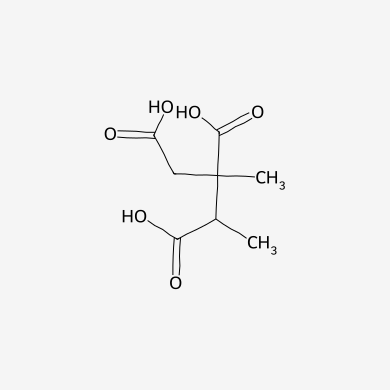 CC(C(=O)O)C(C)(CC(=O)O)C(=O)O